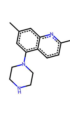 Cc1cc(N2CCNCC2)c2ccc(C)nc2c1